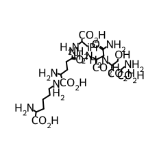 CC(C)C(N)C(=O)O.NC(=O)CC(N)C(=O)O.NC(=O)CCC(N)C(=O)O.NC(CO)C(=O)O.NCC(=O)O.NCCCCC(N)C(=O)O